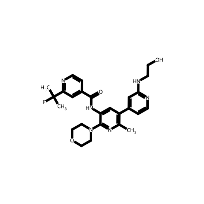 Cc1nc(N2CCOCC2)c(NC(=O)c2ccnc(C(C)(C)F)c2)cc1-c1ccnc(NCCO)c1